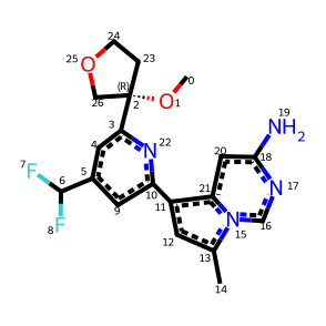 CO[C@@]1(c2cc(C(F)F)cc(-c3cc(C)n4cnc(N)cc34)n2)CCOC1